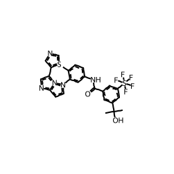 Cc1ccc(NC(=O)c2cc(C(C)(C)O)cc(S(F)(F)(F)(F)F)c2)cc1-n1ccc2ncc(-c3cncs3)n21